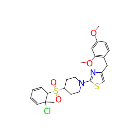 COc1ccc(Cc2csc(N3CCC(S(=O)(=O)C4C=CC=CC4(C)Cl)CC3)n2)c(OC)c1